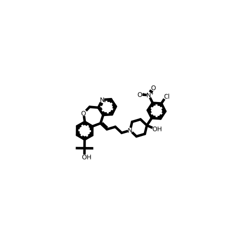 CC(C)(O)c1ccc2c(c1)/C(=C/CCN1CCC(O)(c3ccc(Cl)c([N+](=O)[O-])c3)CC1)c1cccnc1CO2